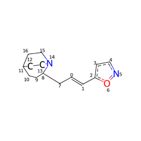 C(=C\c1ccno1)/CC1CCC2CCN1CC2